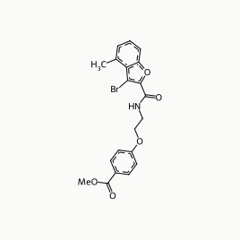 COC(=O)c1ccc(OCCNC(=O)c2oc3cccc(C)c3c2Br)cc1